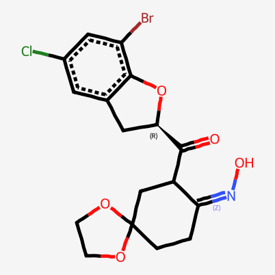 O=C(C1CC2(CC/C1=N/O)OCCO2)[C@H]1Cc2cc(Cl)cc(Br)c2O1